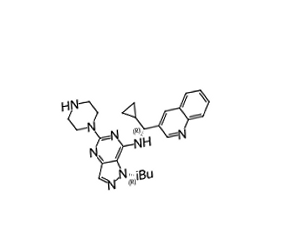 CC[C@@H](C)n1ncc2nc(N3CCNCC3)nc(N[C@@H](c3cnc4ccccc4c3)C3CC3)c21